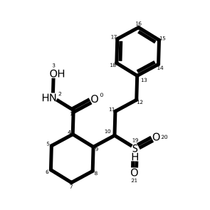 O=C(NO)C1CCCCC1C(CCc1ccccc1)[SH](=O)=O